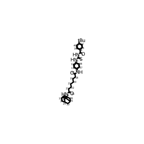 CC(C)(C)c1ccc(C(=O)NC(=S)Nc2ccc(NC(=O)CCCCCCC(=O)NC34CC5CC(CC(C5)C3)C4)cc2)cc1